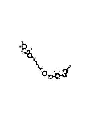 CNc1cc(-c2ccc3cc(C#N)cnn23)ncc1-c1nnc([C@H]2CC[C@@H](NC(=O)CCCCCNc3ccc4c(c3)C(=O)N(C3CCC(=O)NC3=O)C4=O)CC2)s1